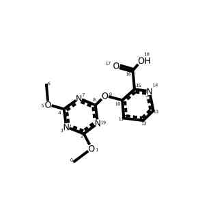 COc1nc(OC)nc(Oc2cccnc2C(=O)O)n1